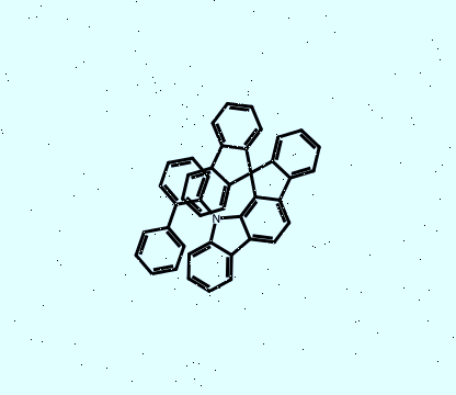 c1ccc(-c2ccccc2-n2c3ccccc3c3ccc4c(c32)C2(c3ccccc3-c3ccccc32)c2ccccc2-4)cc1